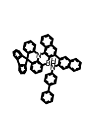 B1c2cccc3c2N(c2ccccc2C32c3ccccc3-c3ccccc32)c2c1c(-c1cc3ccccc3cc1Nc1ccc(-c3ccccc3)cc1)cc1ccccc21